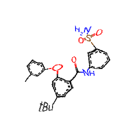 Cc1cccc(Oc2cc(C(C)(C)C)ccc2C(=O)Nc2cccc(S(N)(=O)=O)c2)c1